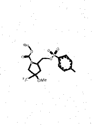 COC1(C(F)(F)F)CC(COS(=O)(=O)c2ccc(C)cc2)N(C(=O)OC(C)(C)C)C1